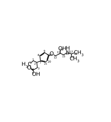 CCC(CC(=O)O)c1ccc(OCC(O)CNC(C)C)cc1